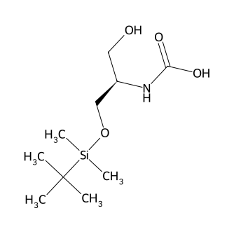 CC(C)(C)[Si](C)(C)OC[C@@H](CO)NC(=O)O